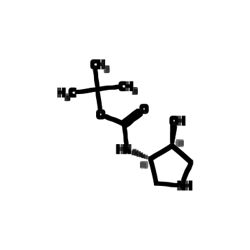 CC(C)(C)OC(=O)N[C@H]1CNC[C@@H]1O